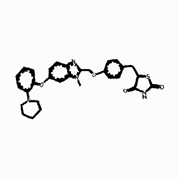 Cn1c(COc2ccc(CC3SC(=O)NC3=O)cc2)nc2ccc(Oc3ccccc3N3CCCCC3)cc21